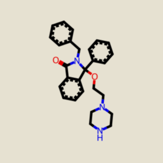 O=C1c2ccccc2C(OCCN2CCNCC2)(c2ccccc2)N1Cc1ccccc1